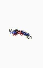 COC[C@@H](CO[C@@H]1CCN(C2CCN(c3ncc(C#N)s3)CC2)C1=O)Oc1cn[nH]c(=O)c1C